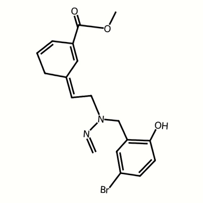 C=NN(C/C=C1\C=C(C(=O)OC)C=CC1)Cc1cc(Br)ccc1O